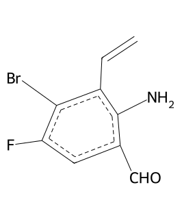 C=Cc1c(N)c(C=O)cc(F)c1Br